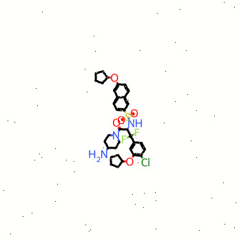 NC1CCN(C(=O)[C@@H](NS(=O)(=O)c2ccc3cc(OC4CCCC4)ccc3c2)C(F)(F)c2ccc(Cl)c(OC3CCCC3)c2)CC1